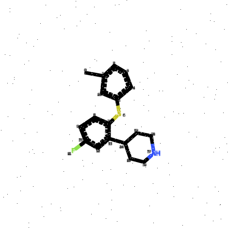 Cc1cccc(Sc2ccc(F)cc2C2CCNCC2)c1